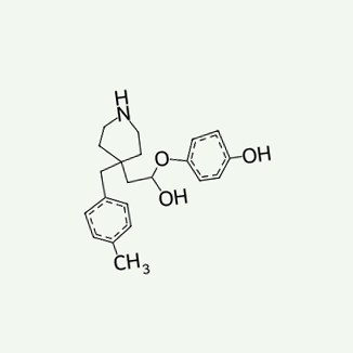 Cc1ccc(CC2(CC(O)Oc3ccc(O)cc3)CCNCC2)cc1